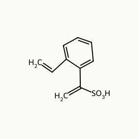 C=Cc1ccccc1C(=C)S(=O)(=O)O